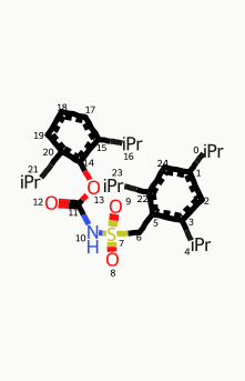 CC(C)c1cc(C(C)C)c(CS(=O)(=O)NC(=O)Oc2c(C(C)C)cccc2C(C)C)c(C(C)C)c1